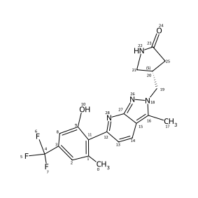 Cc1cc(C(F)(F)F)cc(O)c1-c1ccc2c(C)n(C[C@@H]3CNC(=O)C3)nc2n1